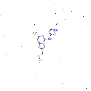 FC(F)(F)OCc1cn2c(Nc3cc[nH]n3)nc(C(F)(F)F)cc2n1